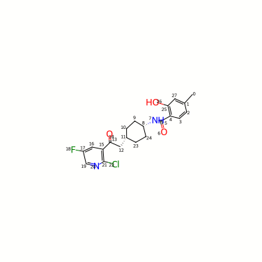 Cc1ccc(C(=O)N[C@H]2CC[C@@H](CC(=O)c3cc(F)cnc3Cl)CC2)c(O)c1